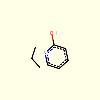 CCC.Oc1ccccn1